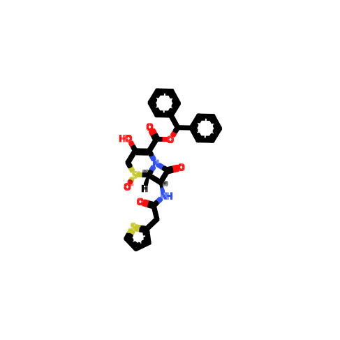 O=C(Cc1cccs1)N[C@@H]1C(=O)N2C(C(=O)OC(c3ccccc3)c3ccccc3)=C(O)C[S+]([O-])[C@@H]12